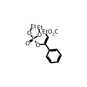 CCOC(=O)/C=C(\OP(=O)(OCC)OCC)c1ccccc1